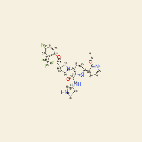 CCOc1ncccc1-c1ccc(N2CCC(COc3ccc(F)cc3C(F)(F)F)C2)c(C(=O)N[C@@H]2CCNC2)n1